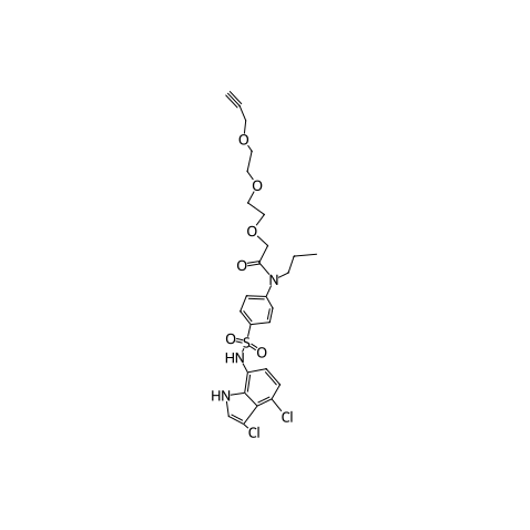 C#CCOCCOCCOCC(=O)N(CCC)c1ccc(S(=O)(=O)Nc2ccc(Cl)c3c(Cl)c[nH]c23)cc1